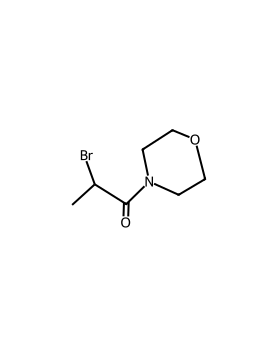 CC(Br)C(=O)N1CCOCC1